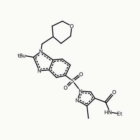 CCNC(=O)c1cn(S(=O)(=O)c2ccc3c(c2)nc(C(C)(C)C)n3CC2CCOCC2)nc1C